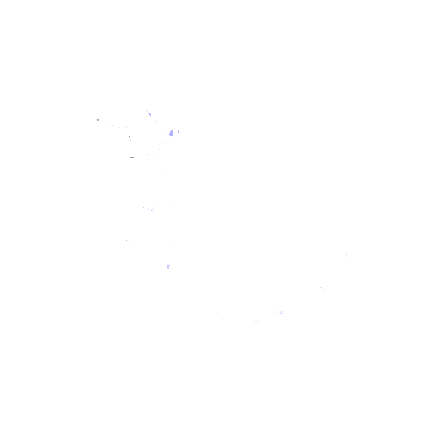 CN1CCN(C(=O)N2CCN(C(=O)c3ccc(NC(=O)c4ncc(Cc5c(C(F)(F)F)n[nH]c5C5CC5)[nH]4)cc3Cl)CC2)CC1